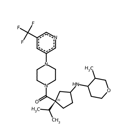 CC1COCCC1NC1CC[C@@](C(=O)N2CCN(c3cncc(C(F)(F)F)c3)CC2)(C(C)C)C1